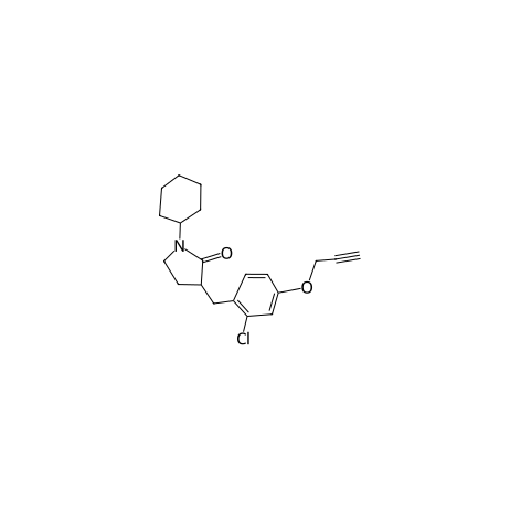 C#CCOc1ccc(CC2CCN(C3CCCCC3)C2=O)c(Cl)c1